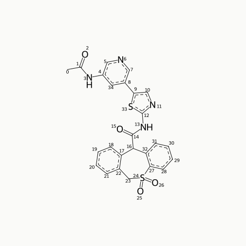 CC(=O)Nc1cncc(-c2cnc(NC(=O)C3c4ccccc4CS(=O)(=O)c4ccccc43)s2)c1